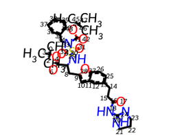 CC(C)(C)OC(=O)C(Cc1cc2cc(CCC(=O)NC3=NCCCN3)ccc2o1)NS(=O)(=O)N(Cc1ccccc1)C(=O)OC(C)(C)C